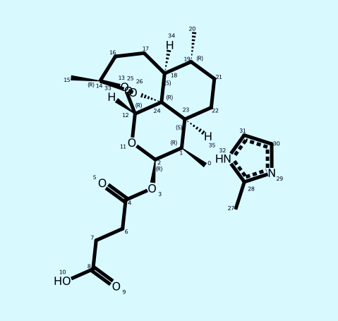 C[C@H]1[C@@H](OC(=O)CCC(=O)O)O[C@@H]2O[C@@]3(C)CC[C@H]4[C@H](C)CC[C@@H]1[C@@]24OO3.Cc1ncc[nH]1